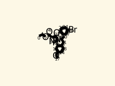 CCOC(=O)c1nnn(C(C)Cc2ccc(OC)cc2)c1Oc1ccc(Br)cc1